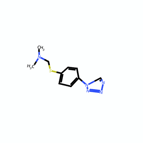 CN(C)CSc1ccc(-n2cnnn2)cc1